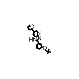 CC(C)(C)COc1cccc(-c2nc3ncc(-c4ccco4)cc3[nH]2)c1